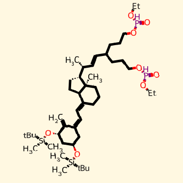 C=C1/C(=C\C=C2/CCC[C@@]3(C)C2CC[C@@H]3[C@H](C)/C=C/C(CCCO[PH](=O)OCC)CCCO[PH](=O)OCC)C[C@@H](O[Si](C)(C)C(C)(C)C)C[C@@H]1O[Si](C)(C)C(C)(C)C